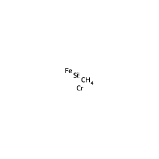 C.[Cr].[Fe].[Si]